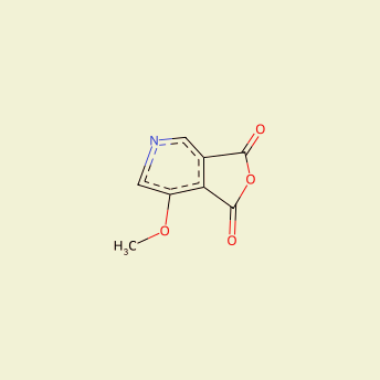 COc1cncc2c1C(=O)OC2=O